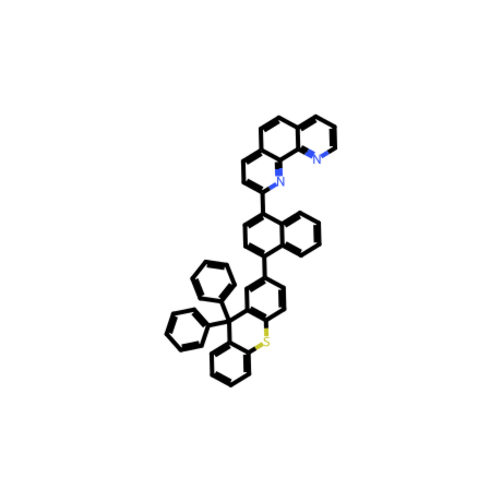 c1ccc(C2(c3ccccc3)c3ccccc3Sc3ccc(-c4ccc(-c5ccc6ccc7cccnc7c6n5)c5ccccc45)cc32)cc1